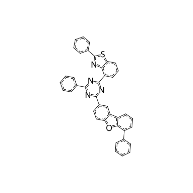 c1ccc(-c2nc(-c3ccc4oc5c(-c6ccccc6)cccc5c4c3)nc(-c3cccc4sc(-c5ccccc5)nc34)n2)cc1